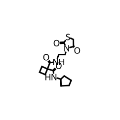 O=C1CSC(=O)N1CCNC(=O)C1(C(=O)NC2CCCC2)CCC1